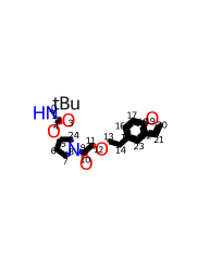 CC(C)(C)NC(=O)OC1CCN(C(=O)COCCc2ccc3occc3c2)C1